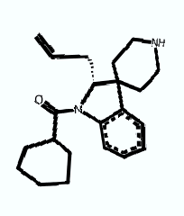 C=CC[C@H]1N(C(=O)C2CCCCC2)c2ccccc2C12CCNCC2